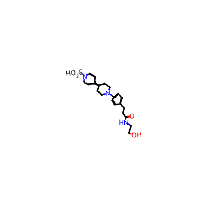 O=C(CCc1ccc(N2CCC(C3CCN(C(=O)O)CC3)CC2)cc1)NCCO